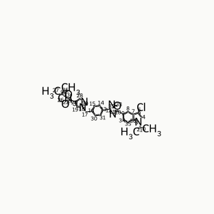 CC(C)n1cc(Cl)c2cc(-c3nc(-c4ccc(Cn5cc(C(=O)OC(C)(C)C)cn5)cc4)no3)ccc21